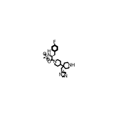 CS(=O)(=O)N[C@@H](Cc1ccc(F)cc1)C(=O)N1CCC(C2(Cn3cncn3)CCNCC2)CC1